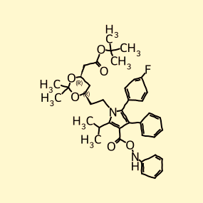 CC(C)c1c(C(=O)ONc2ccccc2)c(-c2ccccc2)c(-c2ccc(F)cc2)n1CC[C@@H]1C[C@H](CC(=O)OC(C)(C)C)OC(C)(C)O1